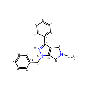 O=C(O)N1Cc2c(-c3ccccc3)nn(Cc3ccccc3)c2C1